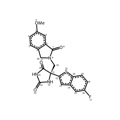 COc1ccc2c(c1)C(=O)N(C[C@@]1(c3cc4cc(F)ccc4s3)NC(=O)NC1=O)C2